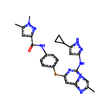 Cc1cn2c(Nc3cc(C4CC4)[nH]n3)nc(Sc3ccc(NC(=O)c4cc(C)n(C)n4)cc3)cc2n1